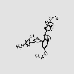 COc1cc(OCc2nc(N)sc2C)c2cc(-c3cn4nc(C)sc4n3)oc2c1